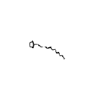 [CH2]CCCCCCCCCCCC1CCCC1